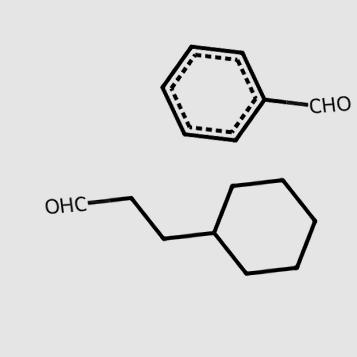 O=CCCC1CCCCC1.O=Cc1ccccc1